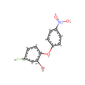 O=[N+]([O-])c1ccc(Oc2ccc(F)cc2Br)cc1